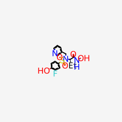 CC[C@H](C(=O)NO)N(Cc1cccnc1)S(=O)(=O)c1ccc(O)c(F)c1